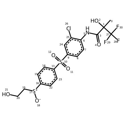 CC(O)(C(=O)Nc1ccc(S(=O)(=O)c2ccc([S+]([O-])CCO)cc2)cc1Cl)C(F)(F)F